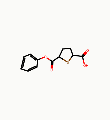 O=C(O)C1CCC(C(=O)Oc2ccccc2)S1